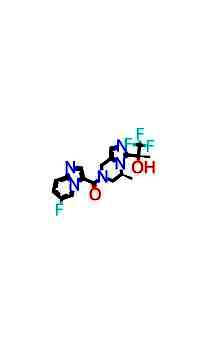 C[C@H]1CN(C(=O)c2cnc3ccc(F)cn23)Cc2cnc([C@@](C)(O)C(F)(F)F)n21